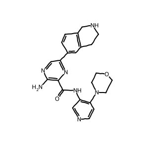 Nc1ncc(-c2ccc3c(c2)CCNC3)nc1C(=O)Nc1cnccc1N1CCOCC1